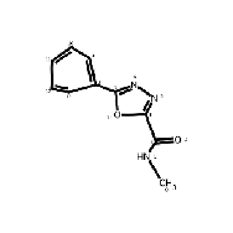 CNC(=O)c1nnc(-c2ccccc2)o1